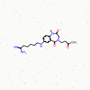 CC(=O)OC(=O)CCN1CC(=O)N(C)c2ccc(NCCCCCC(=N)N)cc2C1=O